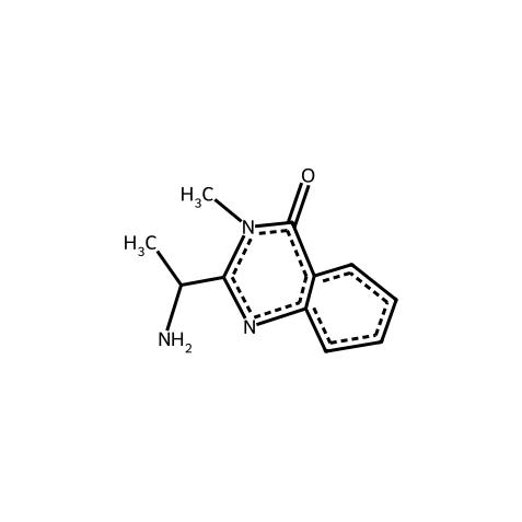 CC(N)c1nc2ccccc2c(=O)n1C